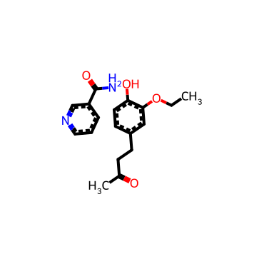 CCOc1cc(CCC(C)=O)ccc1O.NC(=O)c1cccnc1